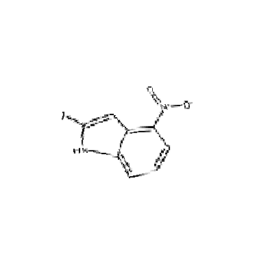 O=[N+]([O-])c1cccc2[nH]c(I)cc12